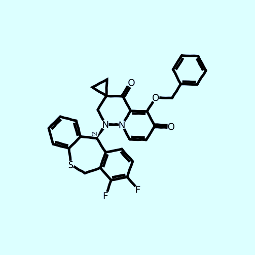 O=C1c2c(OCc3ccccc3)c(=O)ccn2N([C@@H]2c3ccccc3SCc3c2ccc(F)c3F)CC12CC2